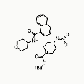 CC(C)(C)OC(=O)N1CCC(N=S(=O)=O)CC1.O=C(NC1CCOCC1)c1cccc2ccccc12